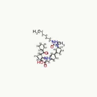 CCCCCCCNC(=O)N(C)c1cccc(-c2ccc(CC(Nc3ccccc3C(=O)c3ccccc3)C(=O)O)cc2)c1